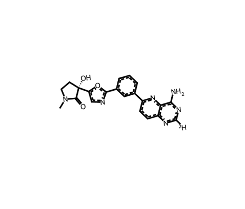 [2H]c1nc(N)c2nc(-c3cccc(-c4ncc([C@]5(O)CCN(C)C5=O)o4)c3)ccc2n1